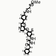 COOSCCNCc1ccc(-c2cc3nccc(Oc4ccc(NC(=S)NC(=O)Cc5ccccc5)cc4F)c3s2)cc1